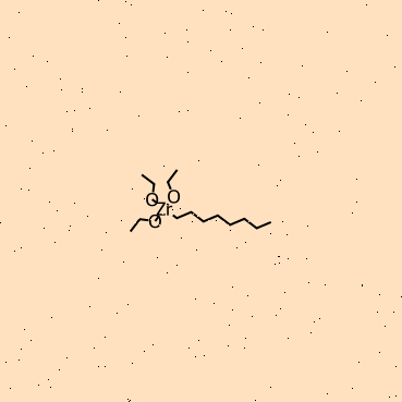 CCCCCCC[CH2][Zr]([O]CC)([O]CC)[O]CC